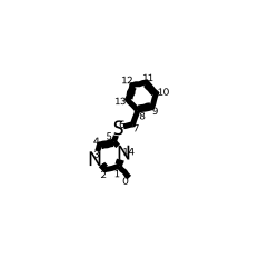 Cc1cncc(SCc2ccccc2)n1